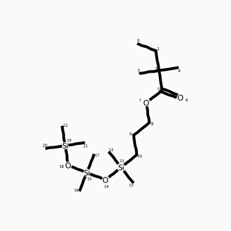 CCC(C)(C)C(=O)OCCC[Si](C)(C)O[Si](C)(C)O[Si](C)(C)C